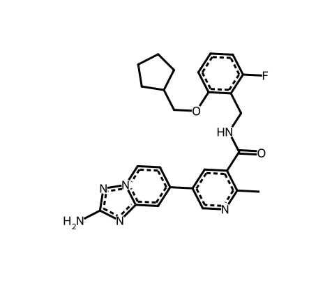 Cc1ncc(-c2ccn3nc(N)nc3c2)cc1C(=O)NCc1c(F)cccc1OCC1CCCC1